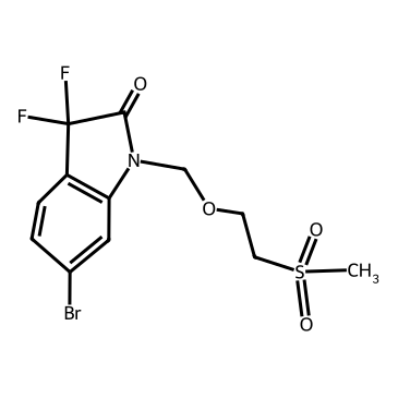 CS(=O)(=O)CCOCN1C(=O)C(F)(F)c2ccc(Br)cc21